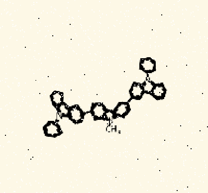 Cn1c2ccc(-c3ccc4c(c3)c3ccccc3n4-c3ccccc3)cc2c2ccc(-c3ccc4c(c3)c3ccccc3n4-c3ccccc3)cc21